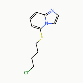 ClCCCCSc1cccc2nccn12